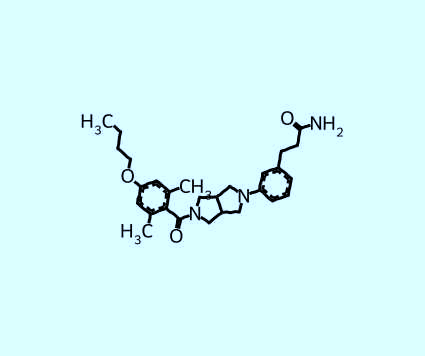 CCCCOc1cc(C)c(C(=O)N2CC3CN(c4cccc(CCC(N)=O)c4)CC3C2)c(C)c1